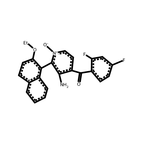 CCOc1ccc2ccccc2c1-c1c(N)c(C(=O)c2ccc(F)cc2F)cc[n+]1[O-]